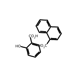 O=C(O)c1cccc2ccccc12.O=C(O)c1ccccc1O